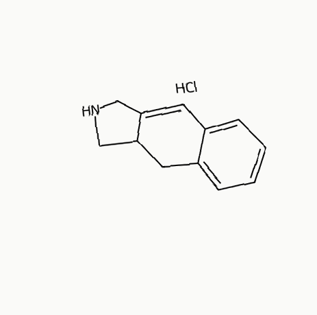 C1=C2CNCC2Cc2ccccc21.Cl